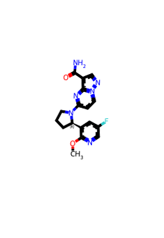 COc1ncc(F)cc1[C@H]1CCCN1c1ccn2ncc(C(N)=O)c2n1